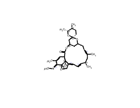 CC1=CC2C(=O)O[C@H]3CC(C/C=C(\C)C[C@@H](C)/C=C/C=C4\CO[C@H](/C1=N/O)[C@@]42O)O[C@@]1(CC[C@H](C)[C@@H](C)O1)C3